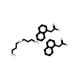 CCC[CH2][Sn+2][CH2]CCC.O=C([O-])Cc1cccc2ccccc12.O=C([O-])Cc1cccc2ccccc12